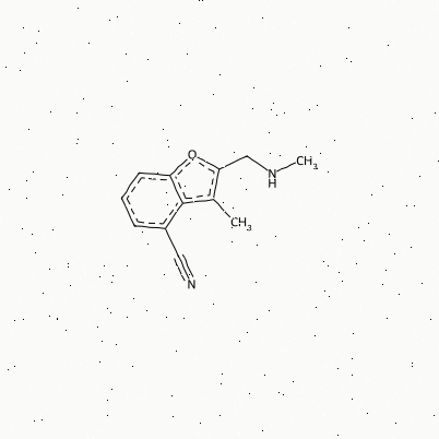 CNCc1oc2cccc(C#N)c2c1C